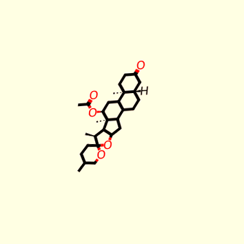 CC(=O)O[C@H]1CC2C(CC[C@H]3CC(=O)CC[C@]23C)C2CC3OC4(CCC(C)CO4)[C@@H](C)C3[C@]21C